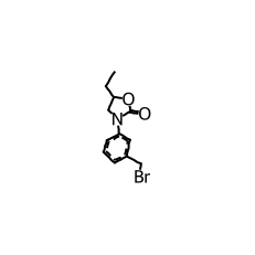 CCC1CN(c2cccc(CBr)c2)C(=O)O1